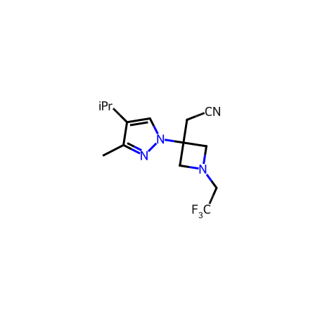 Cc1nn(C2(CC#N)CN(CC(F)(F)F)C2)cc1C(C)C